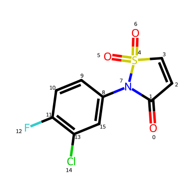 O=C1C=CS(=O)(=O)N1c1ccc(F)c(Cl)c1